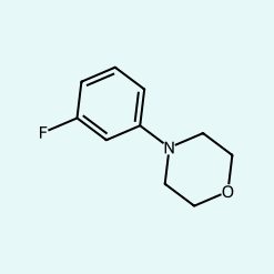 Fc1cccc(N2CCOCC2)c1